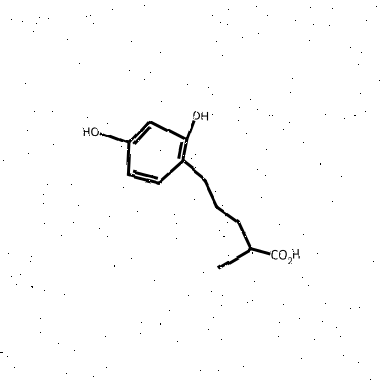 CC(CCCc1ccc(O)cc1O)C(=O)O